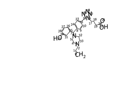 C=CCN1CCN([C@H](c2ccc(-c3nnnn3CCCC(=O)O)cc2)c2cccc(O)c2)CC1